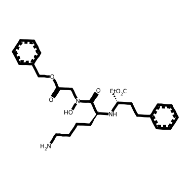 CCOC(=O)[C@H](CCc1ccccc1)N[C@@H](CCCCN)C(=O)N(O)CC(=O)OCc1ccccc1